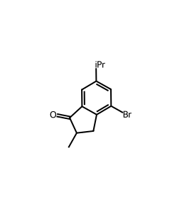 CC1Cc2c(Br)cc(C(C)C)cc2C1=O